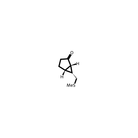 CSC[C@@H]1[C@@H]2CCC(=O)[C@H]12